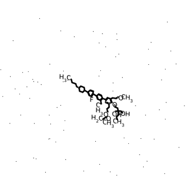 C=C(C)C(=O)OCCCc1cc(-c2ccc(-c3ccc(C4CCC(CCCCC)CC4)cc3F)cc2CC)cc(CCCOC)c1OCCC(CO)(CO)CCCC